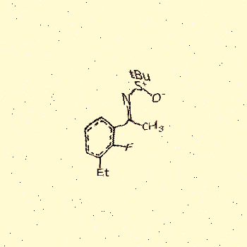 CCc1cccc(C(C)=N[S@@+]([O-])C(C)(C)C)c1F